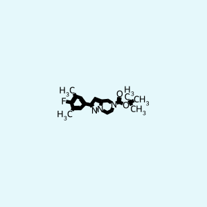 Cc1cc(-c2cc3n(n2)CCN(C(=O)OC(C)(C)C)C3)cc(C)c1F